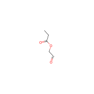 CCC(=O)OC[C]=O